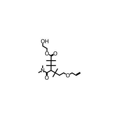 C=CCOCCC(C)(C)C(C(=O)N(C)C)C(C)(C)C(C)(C)C(=O)OCCO